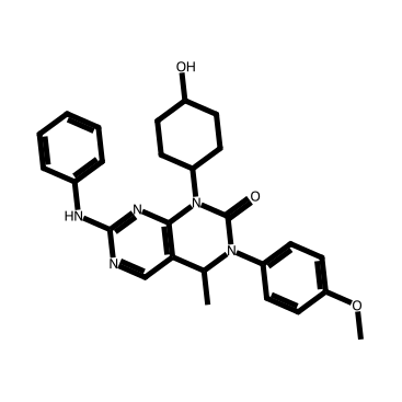 COc1ccc(N2C(=O)N(C3CCC(O)CC3)c3nc(Nc4ccccc4)ncc3C2C)cc1